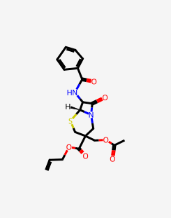 C=CCOC(=O)C1(COC(C)=O)CS[C@@H]2C(NC(=O)c3ccccc3)C(=O)N2C1